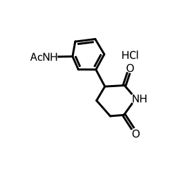 CC(=O)Nc1cccc(C2CCC(=O)NC2=O)c1.Cl